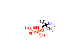 CC(C)(N)COP(=O)(O)OP(=O)(O)O